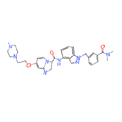 CN1CCN(CCOC2=CC3=NCC(C(=O)Nc4cccc5c4cnn5Cc4cccc(C(=O)N(C)C)c4)N3C=C2)CC1